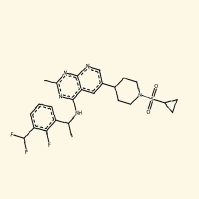 Cc1nc(NC(C)c2cccc(C(F)F)c2F)c2cc(C3CCN(S(=O)(=O)C4CC4)CC3)cnc2n1